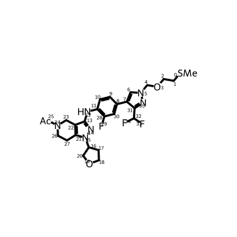 CSCCOCn1cc(-c2ccc(Nc3nn(C4CCOC4)c4c3CN(C(C)=O)CC4)c(F)c2)c(C(F)F)n1